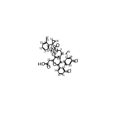 CC[C@@H](CNS(=O)(=O)C1(c2ccccc2F)CC1)N1C(=O)C(CC(=O)O)O[C@H](c2cccc(Cl)c2)[C@H]1c1ccc(Cl)cc1